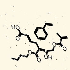 C=C(C)C(=O)OCCO.C=C(CC=CC(=O)O)C(=O)OCCCC.C=Cc1ccccc1